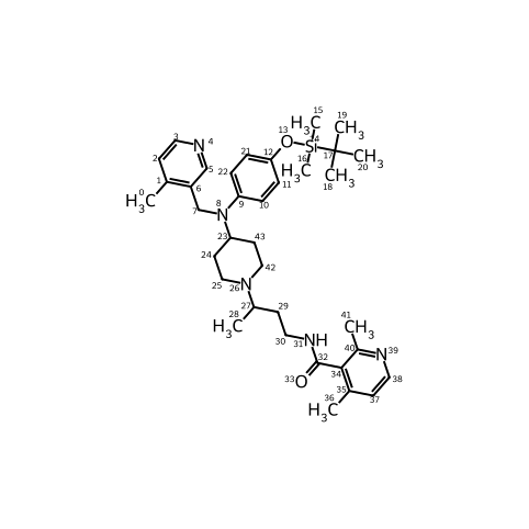 Cc1ccncc1CN(c1ccc(O[Si](C)(C)C(C)(C)C)cc1)C1CCN(C(C)CCNC(=O)c2c(C)ccnc2C)CC1